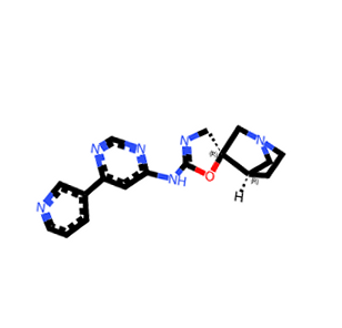 c1cncc(-c2cc(NC3=NC[C@@]4(CN5CC[C@@H]4C5)O3)ncn2)c1